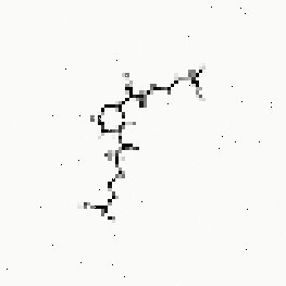 CC(=O)CCCNC(=O)c1cccc(C(=O)NCCCC(C)=O)c1